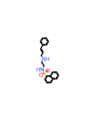 O=S(=O)(NCCNCC=Cc1ccccc1)c1cccc2ccccc12